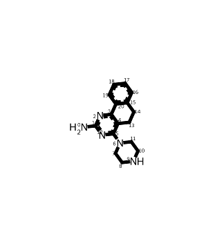 Nc1nc2c(c(N3CCNCC3)n1)CCc1ccccc1-2